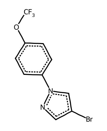 FC(F)(F)Oc1ccc(-n2cc(Br)cn2)cc1